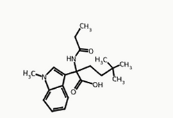 CCC(=O)NC(CCC(C)(C)C)(C(=O)O)c1cn(C)c2ccccc12